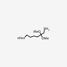 CCCCCCCCCCC(C[SiH3])(OC)OC